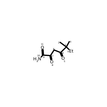 CCC(C)(C)C(=O)CC(=O)C(N)=O